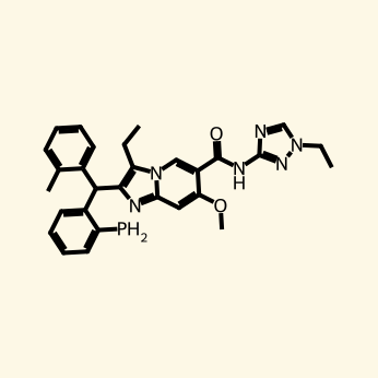 CCc1c(C(c2ccccc2C)c2ccccc2P)nc2cc(OC)c(C(=O)Nc3ncn(CC)n3)cn12